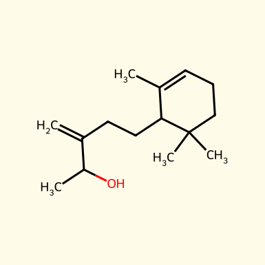 C=C(CCC1C(C)=CCCC1(C)C)C(C)O